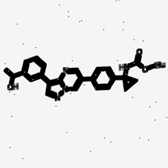 CC(O)c1cccc(-c2cnn3cc(-c4ccc(C5(NC(=O)OC(C)(C)C)CC5)cc4)cnc23)c1